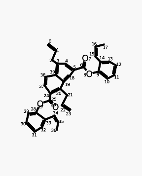 C=CCc1cc(C(=O)Oc2ccccc2/C=C\C)cc2c(CC=C)c(C(=O)Oc3ccccc3/C=C\C)ccc12